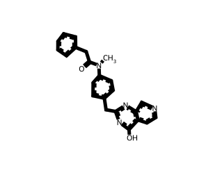 CN(C(=O)Cc1ccccc1)c1ccc(Cc2nc(O)c3ccncc3n2)cc1